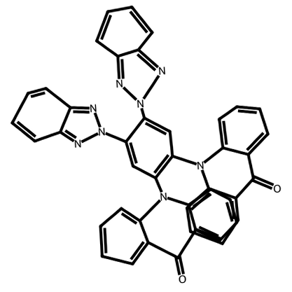 O=c1c2ccccc2n(-c2cc(-n3nc4ccccc4n3)c(-n3nc4ccccc4n3)cc2-n2c3ccccc3c(=O)c3ccccc32)c2ccccc12